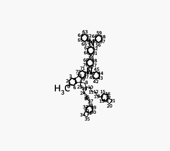 Cc1ccc2c(c1)C(CCCCCCc1ccc3c(c1)CC3)(CCCCCCc1ccc3c(c1)CC3)c1cc(N(c3ccccc3)c3ccc(-c4ccc(N(c5ccccc5)c5ccccc5)cc4)cc3)ccc1-2